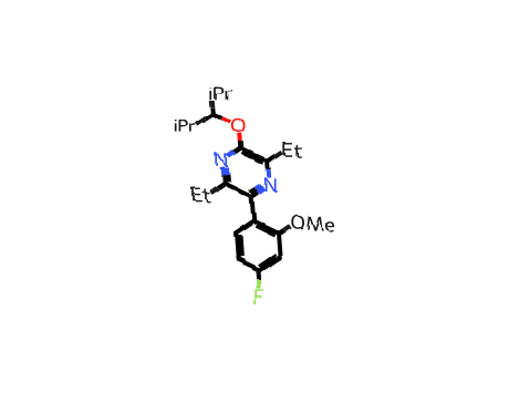 CCc1nc(-c2ccc(F)cc2OC)c(CC)nc1OC(C(C)C)C(C)C